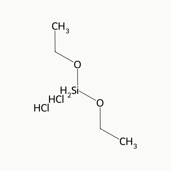 CCO[SiH2]OCC.Cl.Cl